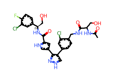 CC(=O)NC(CO)C(=O)NCc1ccc(-c2c[nH]nc2-c2c[nH]c(C(=O)N[C@H](CO)c3ccc(F)c(Cl)c3)c2)cc1Cl